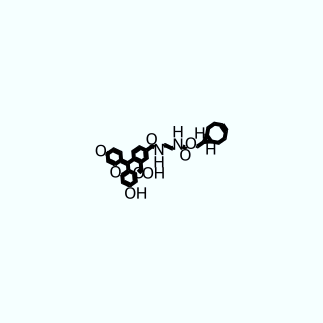 O=C(NCCNC(=O)c1ccc(-c2c3ccc(=O)cc-3oc3cc(O)ccc23)c(C(=O)O)c1)OCC1[C@H]2CCC#CCC[C@@H]12